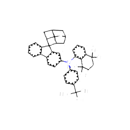 CC(C)(C)c1ccc(N(c2ccc3c(c2)C2(c4ccccc4-3)C3CC4CC5CC2C53C4)c2cccc3c2C(C)(C)CCC3(C)C)cc1